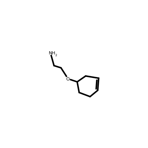 NCCOC1CC=CCC1